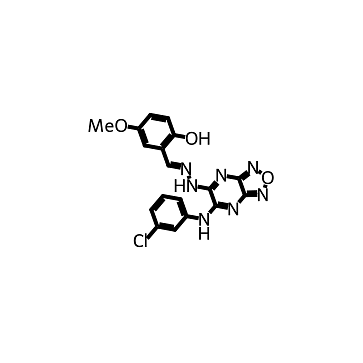 COc1ccc(O)c(/C=N/Nc2nc3nonc3nc2Nc2cccc(Cl)c2)c1